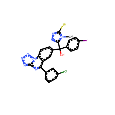 Cn1c(S)nnc1C(O)(c1ccc(I)cc1)c1ccc2c(c1)c(-c1cccc(Cl)c1)nc1nnnn12